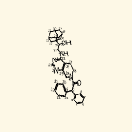 O=C(C(c1ccccc1)c1ccccc1)N1CCc2c(ncnc2NCC(O)C23CC4CC(CC(C4)C2)C3)C1